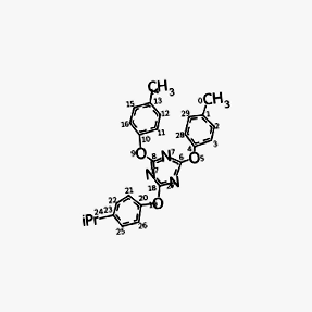 Cc1ccc(Oc2nc(Oc3ccc(C)cc3)nc(Oc3ccc(C(C)C)cc3)n2)cc1